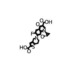 COc1c(N2CCc3sc(C(=O)O)cc3C2)c(F)cc2c(=O)c(C(=O)O)cn(C3CC3)c12